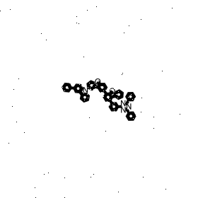 c1ccc(-c2ccc3c(c2)c2ccccc2n3-c2ccc3oc4ccc(-c5ccc(-c6cccc(-c7nc(-c8ccccc8)nc(-c8ccccc8)n7)c6)c6c5oc5ccccc56)cc4c3c2)cc1